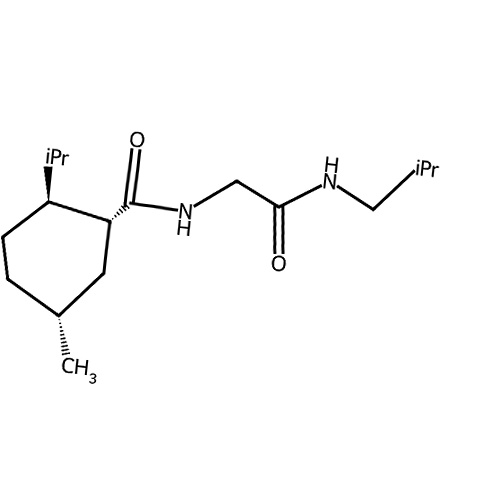 CC(C)CNC(=O)CNC(=O)[C@@H]1C[C@H](C)CC[C@H]1C(C)C